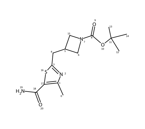 Cc1nc(CC2CN(C(=O)OC(C)(C)C)C2)sc1C(N)=O